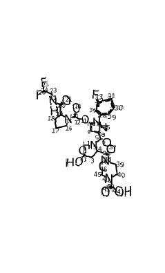 O=C(O)CC(NC(=O)c1cc(OCC(=O)N2CCCC2C(=O)NCC(F)F)n(-c2cccc(F)c2)n1)C(=O)N1CCN(C(=O)O)CC1